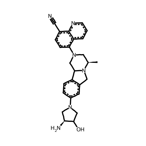 C[C@@H]1CN(c2ccc(C#N)c3ncccc23)CC2c3ccc(N4CC(O)[C@@H](N)C4)cc3CN21